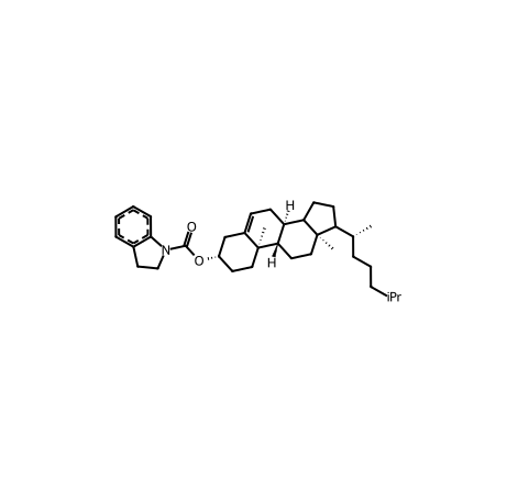 CC(C)CCC[C@@H](C)C1CCC2[C@@H]3CC=C4C[C@@H](OC(=O)N5CCc6ccccc65)CC[C@]4(C)[C@H]3CC[C@]12C